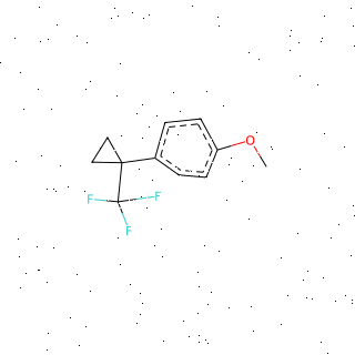 COc1ccc(C2(C(F)(F)F)CC2)cc1